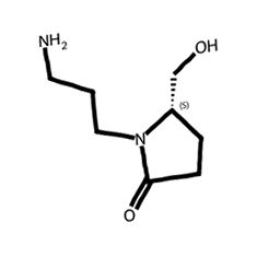 NCCCN1C(=O)CC[C@H]1CO